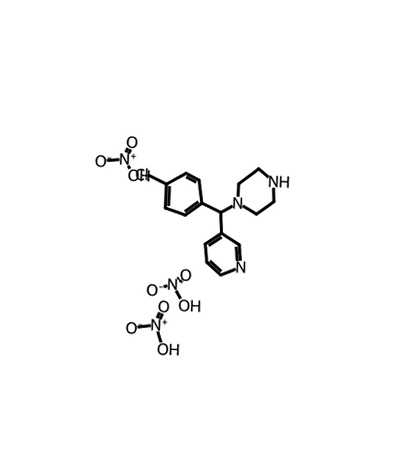 Clc1ccc(C(c2cccnc2)N2CCNCC2)cc1.O=[N+]([O-])O.O=[N+]([O-])O.O=[N+]([O-])O